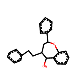 OC1c2ccccc2OC(c2ccccc2)CC1CCc1ccccc1